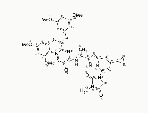 COc1cc(CN(Cc2cc(OC)cc(OC)c2)c2nnc(Cl)c(NC(C)c3cc4cc(C5CC5)cc(N5CC(=O)N(C)C5=O)n4n3)n2)cc(OC)c1